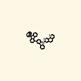 c1ccc2c(c1)-c1c(-c3ccc4c(c3)c3ccccc3n4-c3cc4ccc5cccnc5c4cn3)cccc1C2C1C2CC3CC(C2)C1C3